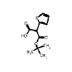 CC(C)(C)OC(=O)C(C(=O)O)c1cccs1